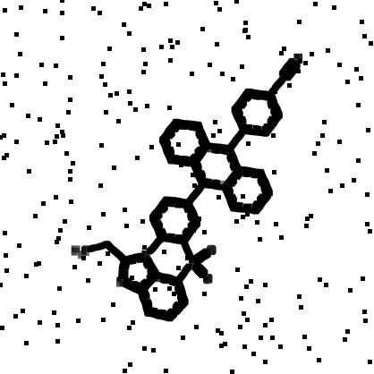 CCc1nc2cccc3c2n1-c1ccc(-c2c4ccccc4c(-c4ccc(C#N)cc4)c4ccccc24)cc1S3(=O)=O